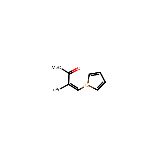 CCCC(=C[SH]1C=CC=C1)C(=O)OC